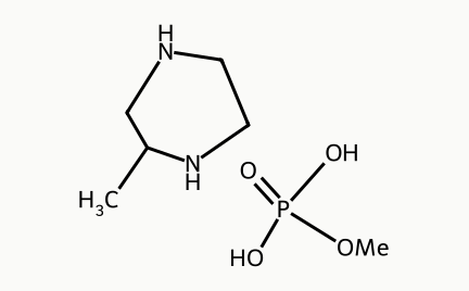 CC1CNCCN1.COP(=O)(O)O